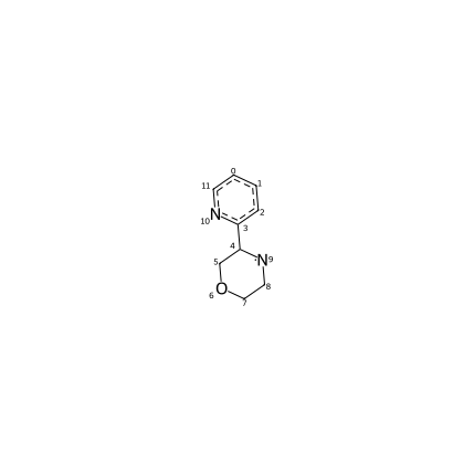 c1ccc(C2COCC[N]2)nc1